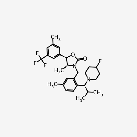 Cc1cc([C@H]2OC(=O)N(Cc3cc(C)ccc3[C@H](C(C)C)N3CCC(F)CC3)[C@H]2C)cc(C(F)(F)F)c1